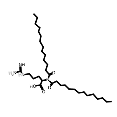 CCCCCCCCCCCCCC(=O)N(C(=O)CCCCCCCCCCCCC)C(CCCNC(=N)N)C(=O)O